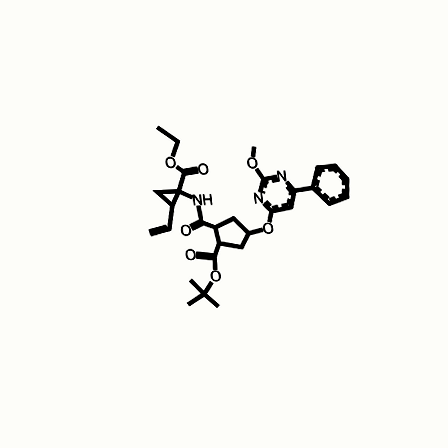 C=CC1CC1(NC(=O)C1CC(Oc2cc(-c3ccccc3)nc(OC)n2)CC1C(=O)OC(C)(C)C)C(=O)OCC